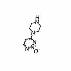 [O-][n+]1nccc(N2CCNCC2)n1